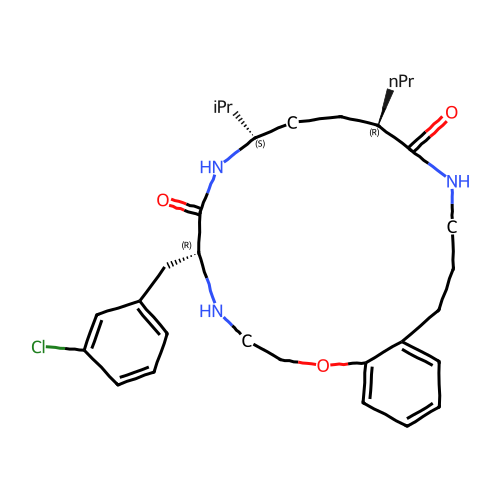 CCC[C@@H]1CC[C@@H](C(C)C)NC(=O)[C@@H](Cc2cccc(Cl)c2)NCCOc2ccccc2CCCNC1=O